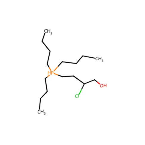 CCCC[PH](CCCC)(CCCC)CCC(Cl)CO